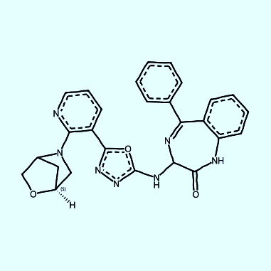 O=C1Nc2ccccc2C(c2ccccc2)=NC1Nc1nnc(-c2cccnc2N2C[C@@H]3CC2CO3)o1